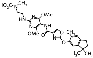 COc1nc(NCCN(C)C(=O)O)nc(OC)c1NC(=O)c1coc(Oc2cc3c(cc2C)CCC3(C)C)n1